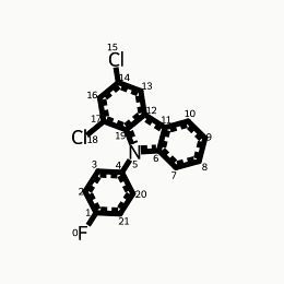 Fc1ccc(-n2c3ccccc3c3cc(Cl)cc(Cl)c32)cc1